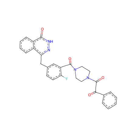 O=C(C(=O)N1CCN(C(=O)c2cc(Cc3n[nH]c(=O)c4ccccc34)ccc2F)CC1)c1ccccc1